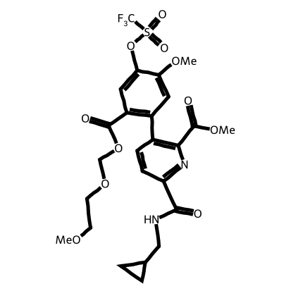 COCCOCOC(=O)c1cc(OS(=O)(=O)C(F)(F)F)c(OC)cc1-c1ccc(C(=O)NCC2CC2)nc1C(=O)OC